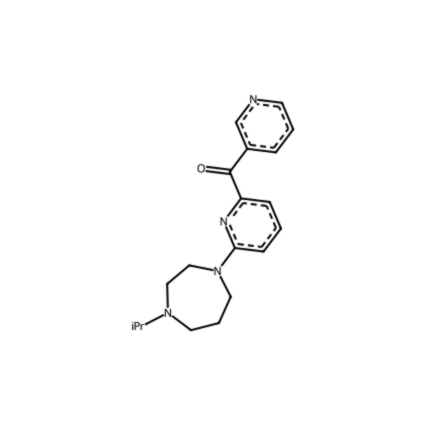 CC(C)N1CCCN(c2cccc(C(=O)c3cccnc3)n2)CC1